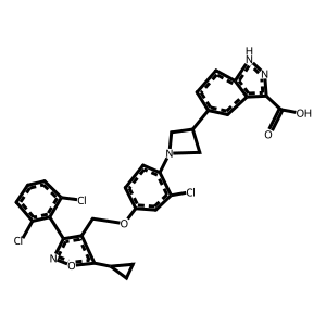 O=C(O)c1n[nH]c2ccc(C3CN(c4ccc(OCc5c(-c6c(Cl)cccc6Cl)noc5C5CC5)cc4Cl)C3)cc12